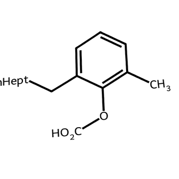 CCCCCCCCc1cccc(C)c1OC(=O)O